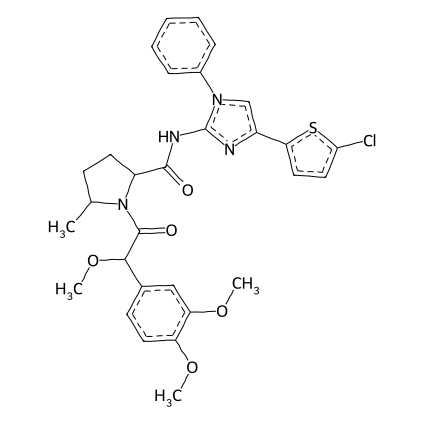 COc1ccc(C(OC)C(=O)N2C(C)CCC2C(=O)Nc2nc(-c3ccc(Cl)s3)cn2-c2ccccc2)cc1OC